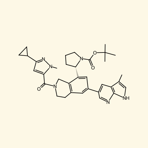 Cc1c[nH]c2ncc(-c3cc4c(c([C@@H]5CCCN5C(=O)OC(C)(C)C)c3)CN(C(=O)c3cc(C5CC5)nn3C)CC4)cc12